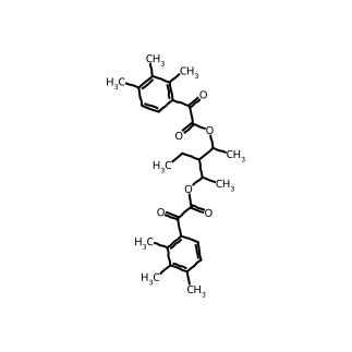 CCC(C(C)OC(=O)C(=O)c1ccc(C)c(C)c1C)C(C)OC(=O)C(=O)c1ccc(C)c(C)c1C